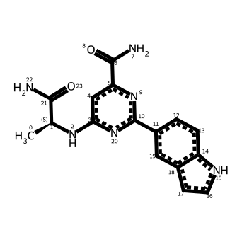 C[C@H](Nc1cc(C(N)=O)nc(-c2ccc3[nH]ccc3c2)n1)C(N)=O